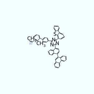 C/C=C\c1cccc(-c2ccc(-c3nc(-c4ccc(-c5cc6ccccc6c6ccccc56)c5ccccc45)nc(-c4cccc5c4sc4ccccc45)n3)cc2)c1C